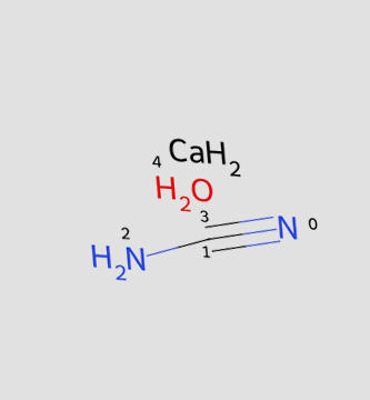 N#CN.O.[CaH2]